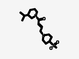 CC(C)C1CCCN(C(=O)/C=C/CN2CCC(S(C)(=O)=O)CC2)C1